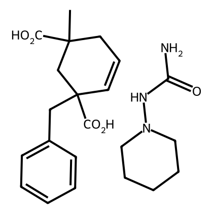 CC1(C(=O)O)CC=CC(Cc2ccccc2)(C(=O)O)C1.NC(=O)NN1CCCCC1